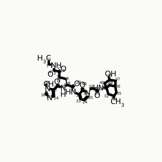 CCNC(=O)C(=O)CC[C@H](NC(=O)c1cncn1C)C(=O)Nc1cccn(CC(=O)NC23CC(C)CC(CC(O)C2)C3)c1=O